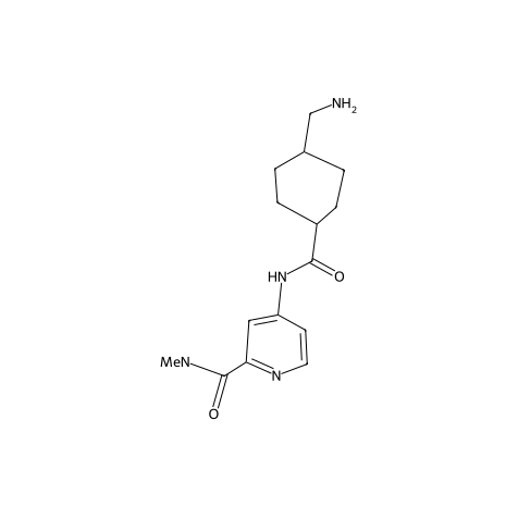 CNC(=O)c1cc(NC(=O)C2CCC(CN)CC2)ccn1